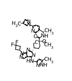 CO[C@]1(C(=O)N[C@@H](C)c2ccc(-n3cc(C)cn3)nc2)CC[C@@H](c2nc(Nc3cc(C)[nH]n3)c3cnn(C4CC(F)(F)C4)c3n2)CC1